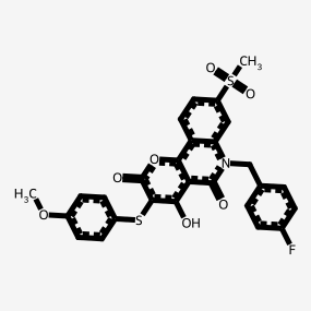 COc1ccc(Sc2c(O)c3c(=O)n(Cc4ccc(F)cc4)c4cc(S(C)(=O)=O)ccc4c3oc2=O)cc1